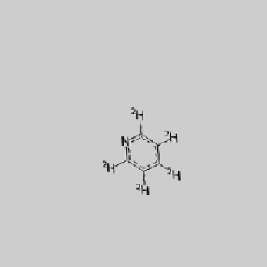 [2H]c1nc([2H])c([2H])c([2H])c1[2H]